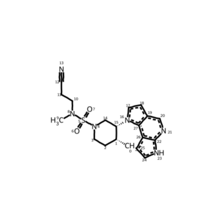 C[C@@H]1CCN(S(=O)(=O)N(C)CCC#N)C[C@@H]1n1ccc2cnc3[nH]ccc3c21